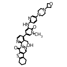 Cn1cc(-c2ccnc(-n3ncc4c5c(sc4c3=O)CCCC5)c2CO)cc(Nc2ccc(N3CCN(C4COC4)CC3)cn2)c1=O